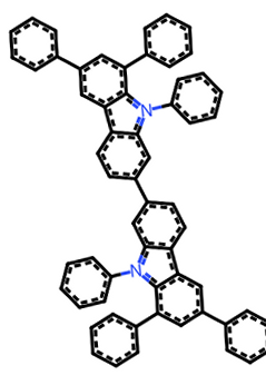 c1ccc(-c2cc(-c3ccccc3)c3c(c2)c2ccc(-c4ccc5c6cc(-c7ccccc7)cc(-c7ccccc7)c6n(-c6ccccc6)c5c4)cc2n3-c2ccccc2)cc1